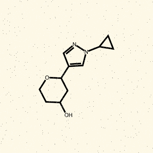 OC1CCOC(c2cnn(C3CC3)c2)C1